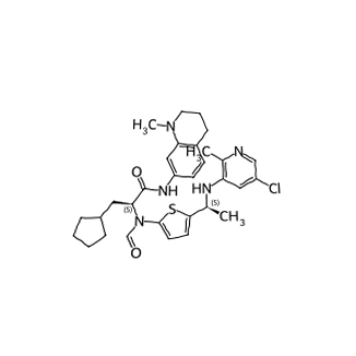 Cc1ncc(Cl)cc1N[C@@H](C)c1ccc(N(C=O)[C@@H](CC2CCCC2)C(=O)Nc2ccc3c(c2)N(C)CCC3)s1